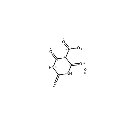 O=C1NC(=O)C([N+](=O)[O-])C(=O)N1.[K]